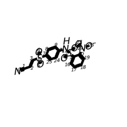 N#CC=CS(=O)(=O)c1ccc(NS(=O)(=O)c2ccccc2[N+](=O)[O-])cc1